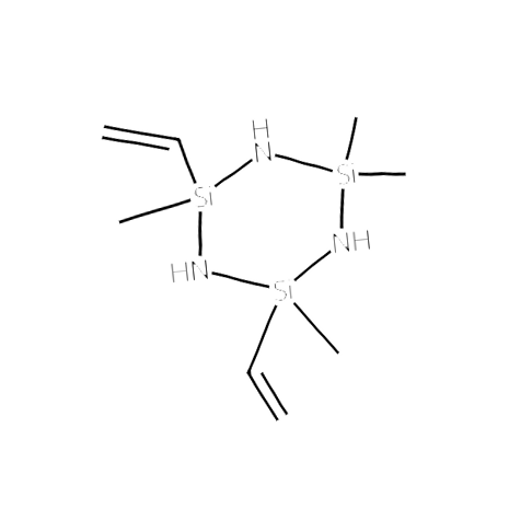 C=C[Si]1(C)N[Si](C)(C)N[Si](C)(C=C)N1